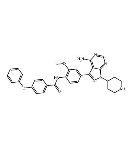 COc1cc(-c2nn(C3CCNCC3)c3ncnc(N)c23)ccc1NC(=O)c1ccc(Oc2ccccc2)cc1